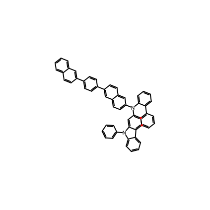 c1ccc(-c2ccccc2N(c2ccc3cc(-c4ccc(-c5ccc6ccccc6c5)cc4)ccc3c2)c2ccc3c4ccccc4n(-c4ccccc4)c3c2)cc1